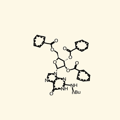 CCCCNc1nc2c(ncn2[C@@H]2O[C@@H](COC(=O)c3ccccc3)[C@H](OC(=O)c3ccccc3)[C@H]2OC(=O)c2ccccc2)c(=O)[nH]1